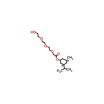 CC(C)[C@H]1CC(OC(=O)COCCOCCOCCO)C[C@H](C)C1